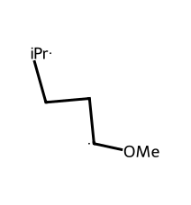 CO[CH]CC[C](C)C